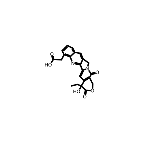 CCC1(O)C(=O)OCc2c1cc1n(c2=O)Cc2cc3cccc(CC(=O)O)c3nc2-1